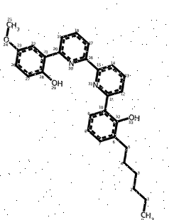 CCCCCCc1cccc(-c2cccc(-c3cccc(-c4cc(OC)ccc4O)n3)n2)c1O